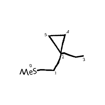 CSCC1(C)CC1